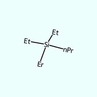 CCC[Si]([Er])(CC)CC